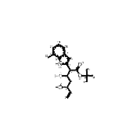 C=CC(O)CC(O)C(C(=O)OC(C)(C)C)c1cc2cccc(C)c2[nH]1